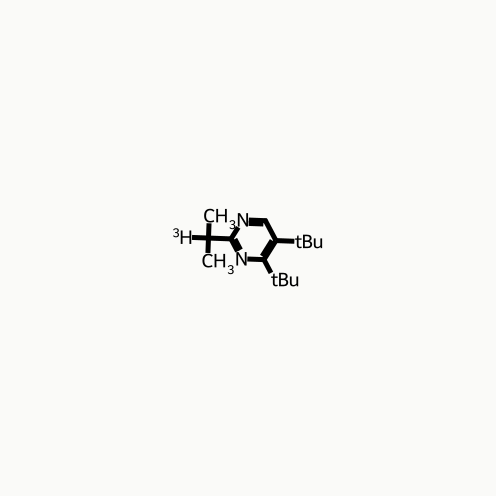 [3H]C(C)(C)c1ncc(C(C)(C)C)c(C(C)(C)C)n1